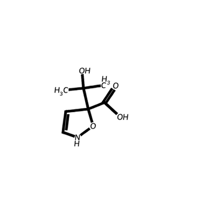 CC(C)(O)C1(C(=O)O)C=CNO1